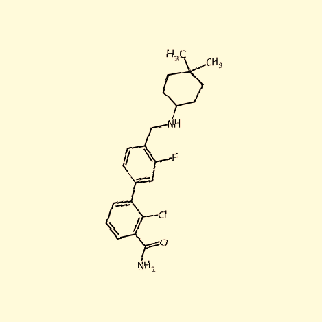 CC1(C)CCC(NCc2ccc(-c3cccc(C(N)=O)c3Cl)cc2F)CC1